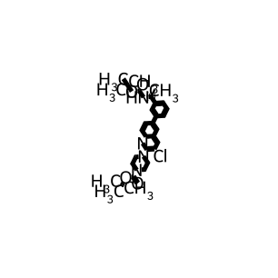 C[C@H](NC(=O)OC(C)(C)C)c1cccc(-c2ccc3nc(N4CCN(C(=O)OC(C)(C)C)CC4)c(Cl)cc3c2)c1